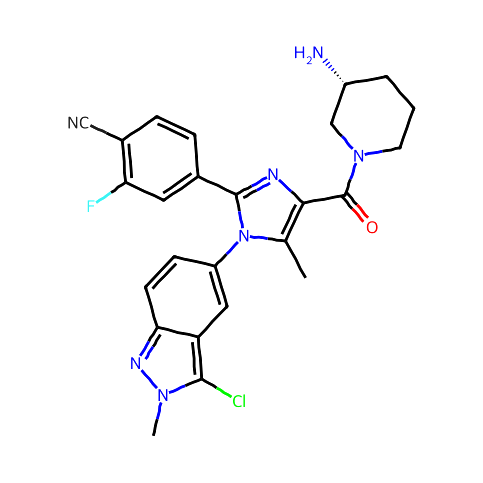 Cc1c(C(=O)N2CCC[C@@H](N)C2)nc(-c2ccc(C#N)c(F)c2)n1-c1ccc2nn(C)c(Cl)c2c1